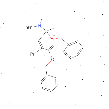 C=C(OCc1ccccc1)/C(=C\C(C)(OCc1ccccc1)N(C)CCC)C(C)C